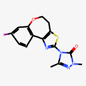 Cc1nn(C)c(=O)n1-c1nc2c(s1)CCOc1cc(I)ccc1-2